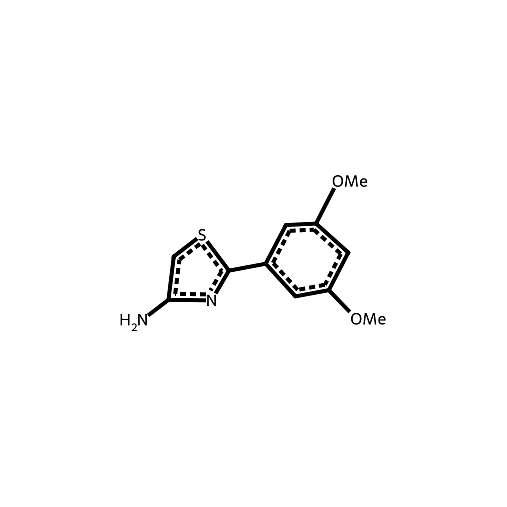 COc1cc(OC)cc(-c2nc(N)cs2)c1